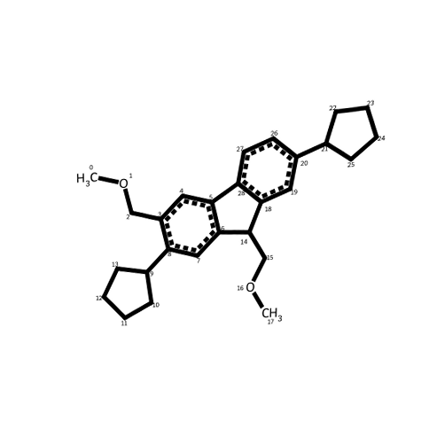 COCc1cc2c(cc1C1CCCC1)C(COC)c1cc(C3CCCC3)ccc1-2